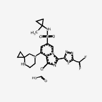 CC1(NS(=O)(=O)c2cc(N3CCNC4(CC4)C3)c3c(Cl)nc(-c4nnc(C(F)F)s4)n3c2)CC1.O=CO